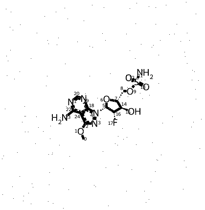 COc1nn([C@@H]2O[C@H](COS(N)(=O)=O)[C@@H](O)[C@@H]2F)c2ncnc(N)c12